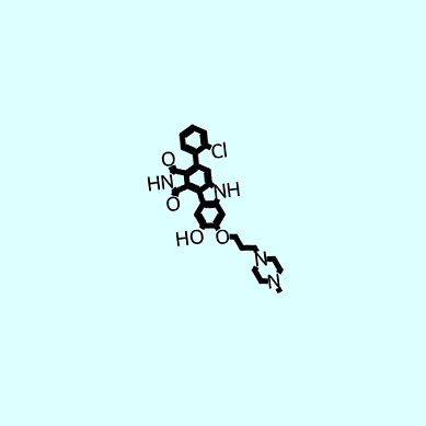 CN1CCN(CCCOc2cc3[nH]c4cc(-c5ccccc5Cl)c5c(c4c3cc2O)C(=O)NC5=O)CC1